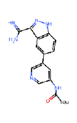 CCCCC(=O)Nc1cncc(-c2ccc3[nH]nc(C(=N)N)c3c2)c1